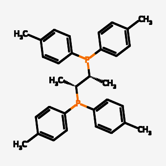 Cc1ccc(P(c2ccc(C)cc2)[C@H](C)[C@@H](C)P(c2ccc(C)cc2)c2ccc(C)cc2)cc1